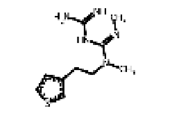 C/N=C(\NC(=N)N)N(C)CCc1ccsc1